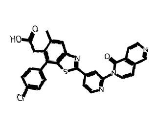 Cc1cc2nc(-c3ccnc(-n4ccc5cnccc5c4=O)c3)sc2c(-c2ccc(Cl)cc2)c1CC(=O)O